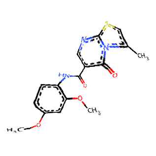 COc1ccc(NC(=O)c2cnc3scc(C)n3c2=O)c(OC)c1